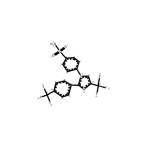 NS(=O)(=O)c1ccc(-n2cc(C(F)(F)F)nc2-c2ccc(C(F)(F)F)cc2)cc1